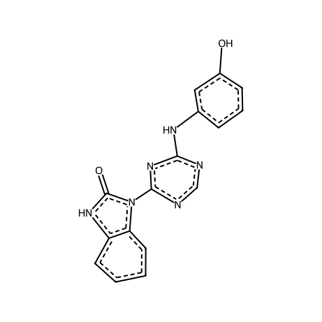 O=c1[nH]c2ccccc2n1-c1ncnc(Nc2cccc(O)c2)n1